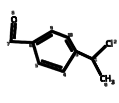 CC(Cl)c1ccc(C=O)cc1